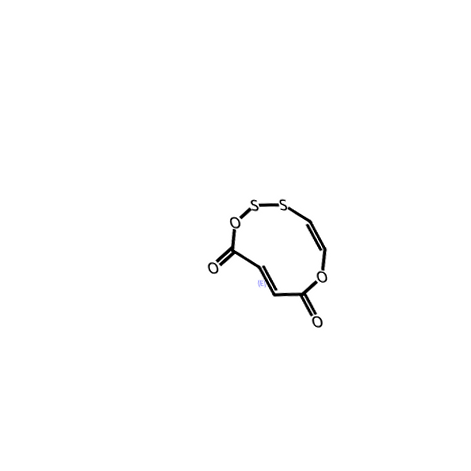 O=C1/C=C/C(=O)OSSC=CO1